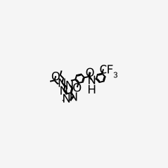 Cc1ccc(C(=O)Nc2cccc(C(F)(F)F)c2)cc1Oc1nc(N2CC(C)OC(C)C2)nc2c1ncn2C